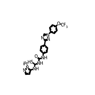 CC(C)n1nccc1NC(S)NC(=O)Nc1ccc(-c2ncn(-c3ccc(OC(F)(F)F)cc3)n2)cc1